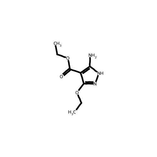 CCOC(=O)c1c(OCC)n[nH]c1N